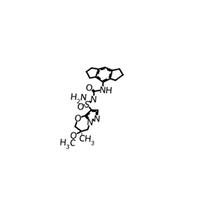 CO[C@@]1(C)COc2c([S@@](N)(=O)=NC(=O)Nc3c4c(cc5c3CCC5)CCC4)cnn2C1